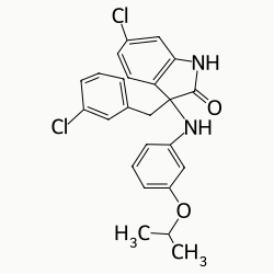 CC(C)Oc1cccc(NC2(Cc3cccc(Cl)c3)C(=O)Nc3cc(Cl)ccc32)c1